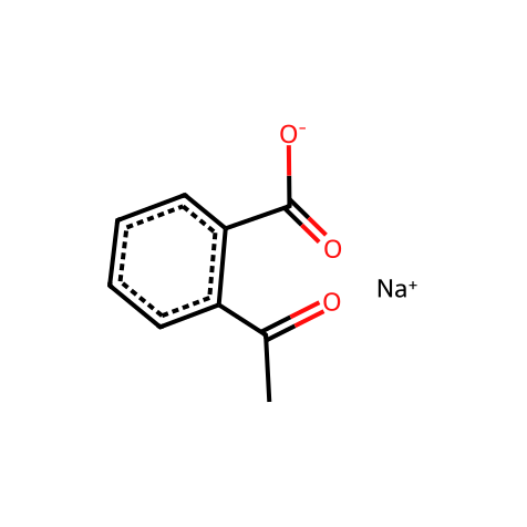 CC(=O)c1ccccc1C(=O)[O-].[Na+]